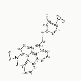 CCN(Cc1cccc(-c2ccnc(NCCc3ccc(OC)c(Cl)c3)n2)c1)C1CCNCC1